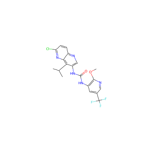 COc1ncc(C(F)(F)F)cc1NC(=O)Nc1cnc2ccc(Cl)nc2c1C(C)C